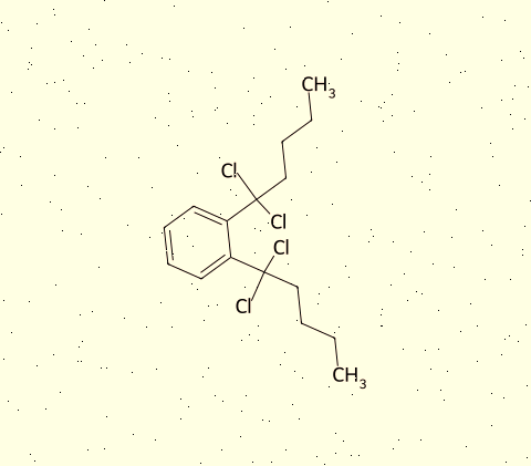 CCCCC(Cl)(Cl)c1ccccc1C(Cl)(Cl)CCCC